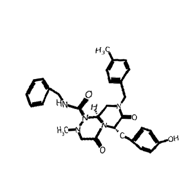 Cc1ccc(CN2C[C@H]3N(C(=O)CN(C)N3C(=O)NCc3ccccc3)[C@@H](Cc3ccc(O)cc3)C2=O)cc1